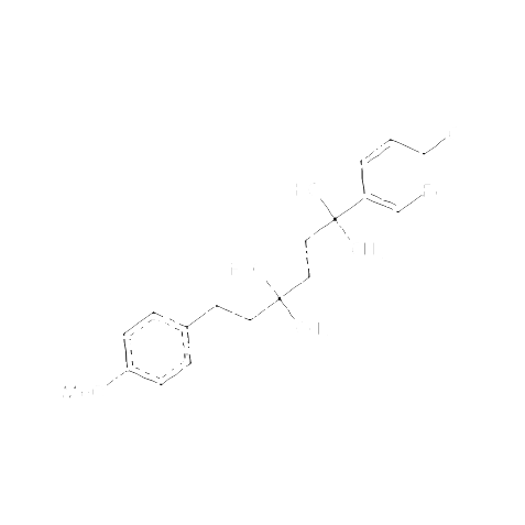 CC/C=C(\C=C/CCl)C(C)(C)CCC(C)(C)CCc1ccc(OC)cc1